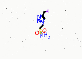 NS(=O)(=O)CCn1cc(CI)nn1